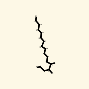 CC[CH]C(C)C(C)CCCCCCCCCCCC